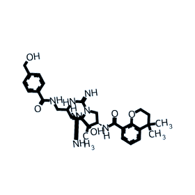 CC1[C@@H](NC(=O)c2cccc3c2OCCC3(C)C)CN2C(=N)NC(CNC(=O)c3ccc(CO)cc3)C3NC(=N)N(O)C312